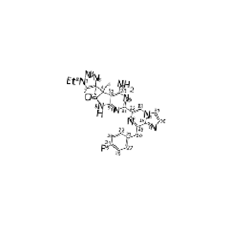 CCn1cc(C2(C)C(=O)Nc3nc(-c4cn5ccnc5c(Cc5ccc(F)cc5)n4)nc(N)c32)nn1